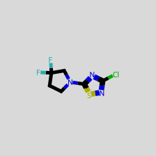 FC1(F)CCN(c2nc(Cl)ns2)C1